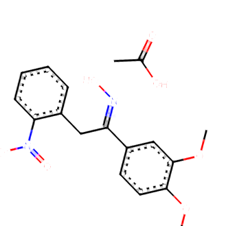 CC(=O)O.COc1ccc(/C(Cc2ccccc2[N+](=O)[O-])=N/O)cc1OC